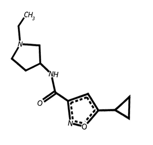 CCN1CCC(NC(=O)c2cc(C3CC3)on2)C1